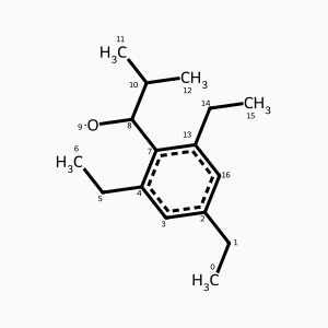 CCc1cc(CC)c(C([O])C(C)C)c(CC)c1